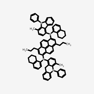 CCCc1cc(N(c2cccc3c2CCCC3)c2ccc(C)c3c2Cc2ccccc2N3c2ccccc2)c2ccc3c(CCC)cc(N(c4cccc5c4CCCC5)c4ccc(C)c5c4c4ccccc4n5-c4ccccc4)c4ccc1c2c34